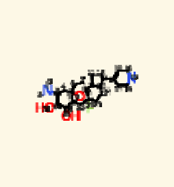 CN(C)[C@H]1C[C@@]23CC[C@]4(O2)C2CC=C(c5ccncc5)[C@@]2(C)CCC4(F)CC3[C@@H](O)[C@@H]1O